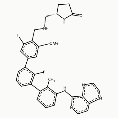 COc1cc(-c2cccc(-c3cccc(Nc4nccc5nccnc45)c3C)c2F)cc(F)c1CNC[C@@H]1CCC(=O)N1